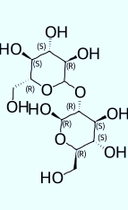 OC[C@H]1O[C@@H](O)[C@H](OC2O[C@H](CO)[C@@H](O)[C@H](O)[C@H]2O)[C@@H](O)[C@@H]1O